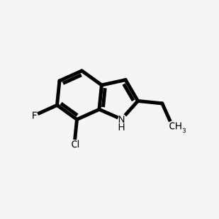 CCc1cc2ccc(F)c(Cl)c2[nH]1